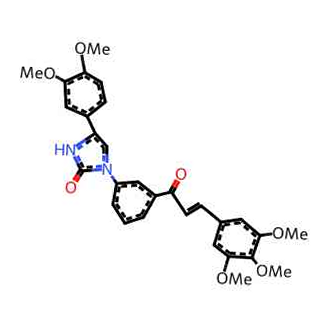 COc1ccc(-c2cn(-c3cccc(C(=O)/C=C/c4cc(OC)c(OC)c(OC)c4)c3)c(=O)[nH]2)cc1OC